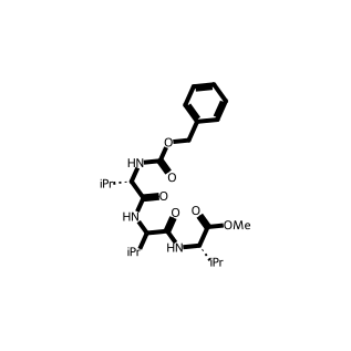 COC(=O)[C@@H](NC(=O)C(NC(=O)[C@@H](NC(=O)OCc1ccccc1)C(C)C)C(C)C)C(C)C